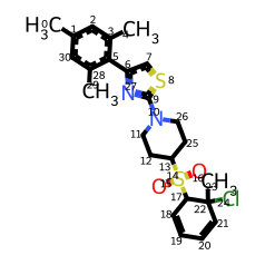 Cc1cc(C)c(-c2csc(N3CCC(S(=O)(=O)C4C=CC=CC4(C)Cl)CC3)n2)c(C)c1